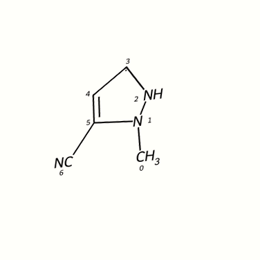 CN1N[CH]C=C1C#N